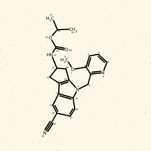 COc1cccnc1Cn1c2c(c3cc(C#N)ccc31)CC(NC(=O)OC(C)C)C2